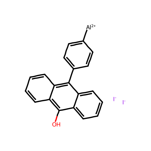 Oc1c2ccccc2c(-c2cc[c]([Al+2])cc2)c2ccccc12.[I-].[I-]